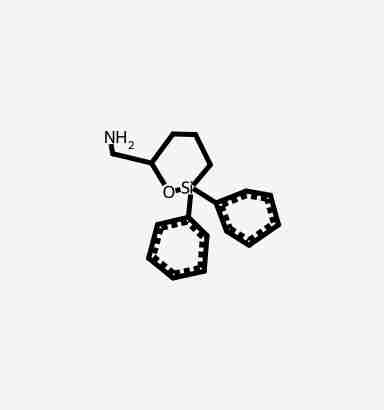 NCC1CCC[Si](c2ccccc2)(c2ccccc2)O1